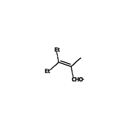 CCC(CC)=C(C)[C]=O